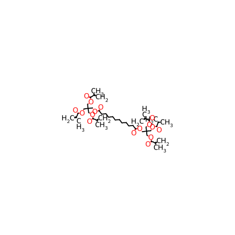 C=C(C)C(=O)OCC(COC(=O)CCCCCCCCCCC(=O)OCC(COC(=O)C(=C)C)(COC(=O)C(=C)C)COC(=O)C(=C)C)(COC(=O)C(=C)C)COC(=O)C(=C)C